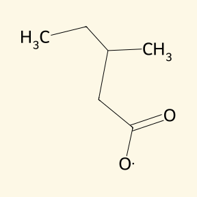 CCC(C)CC([O])=O